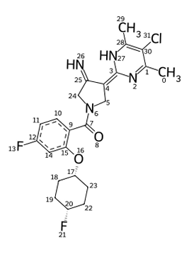 CC1=N/C(=C2\CN(C(=O)c3ccc(F)cc3O[C@H]3CC[C@@H](F)CC3)CC2=N)NC(C)=C1Cl